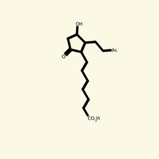 CC(=O)CCC1C(O)CC(=O)C1CCCCCCC(=O)O